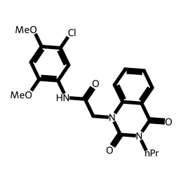 CCCn1c(=O)c2ccccc2n(CC(=O)Nc2cc(Cl)c(OC)cc2OC)c1=O